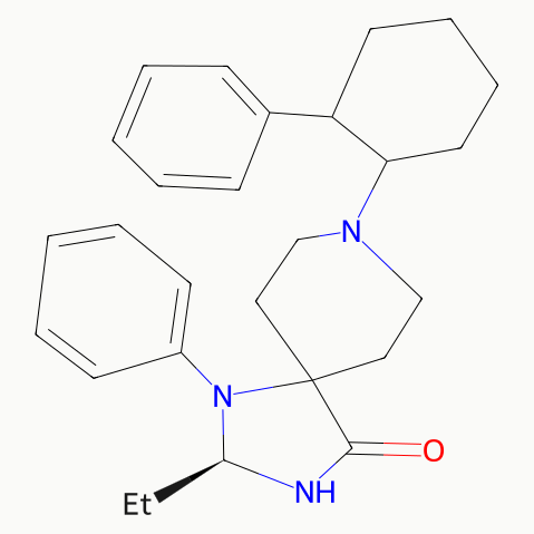 CC[C@@H]1NC(=O)C2(CCN(C3CCCCC3c3ccccc3)CC2)N1c1ccccc1